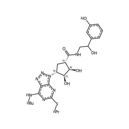 CCCCNc1nc(SCCC)nc2c1nnn2[C@@H]1C[C@H](C(=O)NCC(O)c2cccc(O)c2)[C@@H](O)[C@H]1O